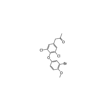 COc1ccc(Oc2c(Cl)cc(CC(C)=O)cc2Cl)cc1Br